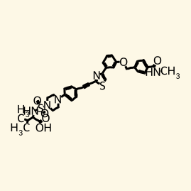 CNC(=O)c1ccc(COc2cccc(-c3csc(C#Cc4ccc(N5CCN(S(=O)(=O)NC(C(=O)O)C(C)C)CC5)cc4)n3)c2)cc1